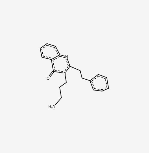 NCCCn1c(CCc2ccccc2)nc2ccccc2c1=O